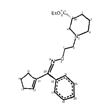 CCOC(=O)[C@@H]1CCCN(CCON=C(C2=CCCC2)c2ccccc2)C1